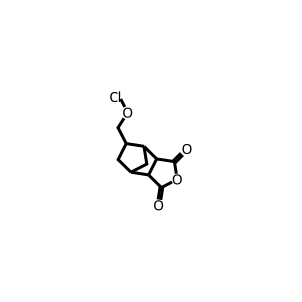 O=C1OC(=O)C2C3CC(CC3COCl)C12